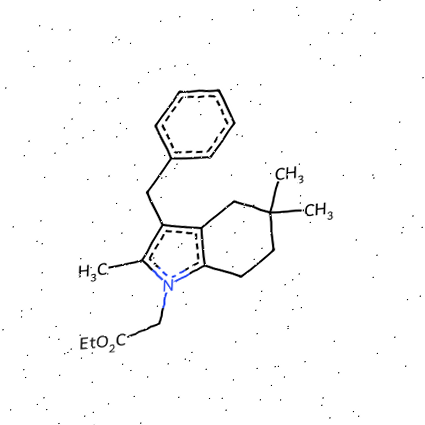 CCOC(=O)Cn1c(C)c(Cc2ccccc2)c2c1CCC(C)(C)C2